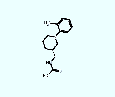 Nc1ccccc1N1CCC[C@@H](CNC(=O)C(F)(F)F)C1